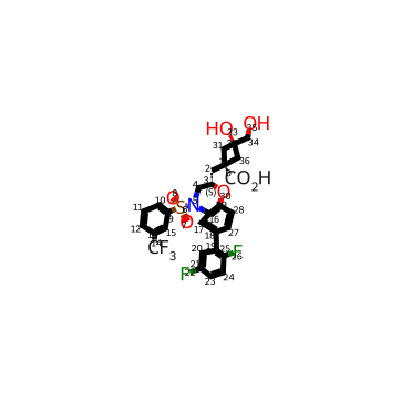 O=C(O)[C@]1(C[C@H]2CN(S(=O)(=O)c3cccc(C(F)(F)F)c3)c3cc(-c4cc(F)ccc4F)ccc3O2)C[C@](O)(CO)C1